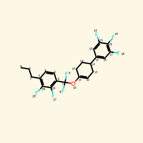 CCCc1ccc(C(F)(F)OC2=CCC(c3cc(F)c(F)c(F)c3)CC2)c(F)c1F